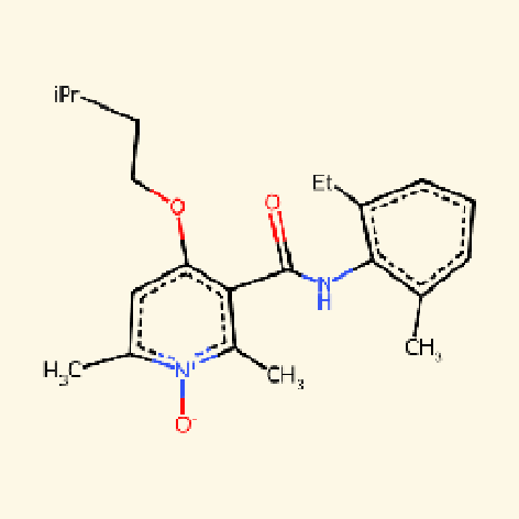 CCc1cccc(C)c1NC(=O)c1c(OCCC(C)C)cc(C)[n+]([O-])c1C